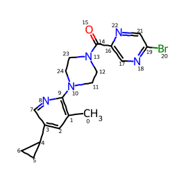 Cc1cc(C2CC2)cnc1N1CCN(C(=O)c2cnc(Br)cn2)CC1